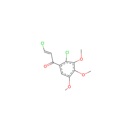 COc1cc(C(=O)/C=C/Cl)c(Cl)c(OC)c1OC